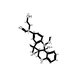 CON1c2ccc(N(C=O)CCO)cc2C(C)(C)[C@H]2COc3ccccc3[C@H]21